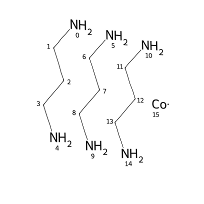 NCCCN.NCCCN.NCCCN.[Co]